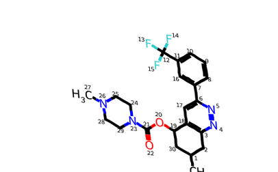 CC1Cc2nnc(-c3cccc(C(F)(F)F)c3)cc2C(OC(=O)N2CCN(C)CC2)C1